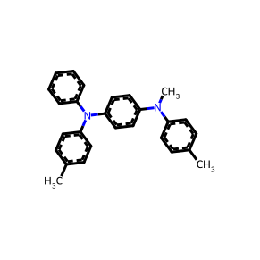 Cc1ccc(N(C)c2ccc(N(c3ccccc3)c3ccc(C)cc3)cc2)cc1